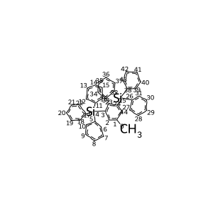 Cc1cc([Si](c2ccccc2)(c2ccccc2)c2ccccc2)cc([Si](c2ccccc2)(c2ccccc2)c2ccccc2)c1